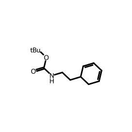 CC(C)(C)OC(=O)NCCC1C=CC=CC1